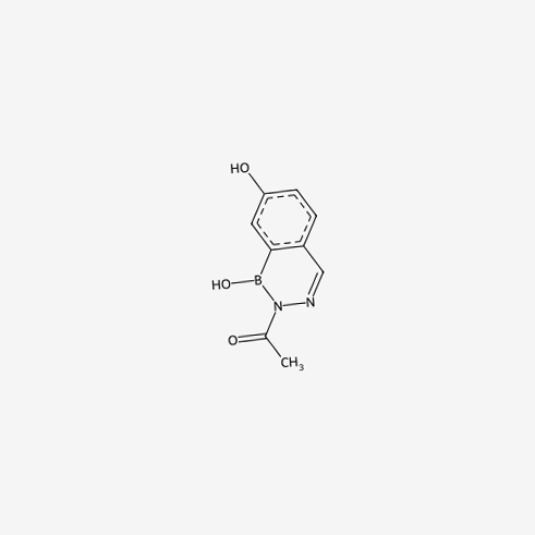 CC(=O)N1N=Cc2ccc(O)cc2B1O